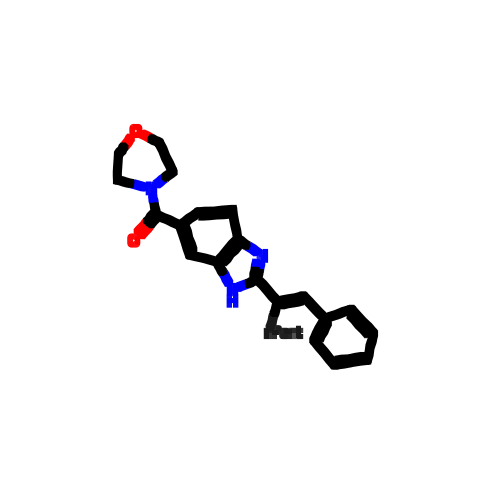 CCCCC/C(=C\c1ccccc1)c1nc2ccc(C(=O)N3CCOCC3)cc2[nH]1